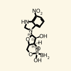 B[PH]1(O)OCC2O[C@@H](N3CNc4c3cccc4[N+](=O)[O-])[C@@H](O)[C@H]2O1